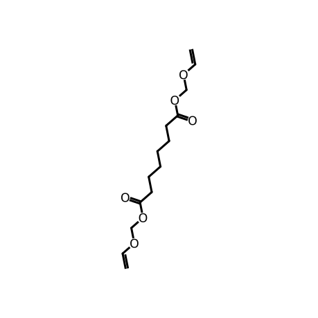 C=COCOC(=O)CCCCCCC(=O)OCOC=C